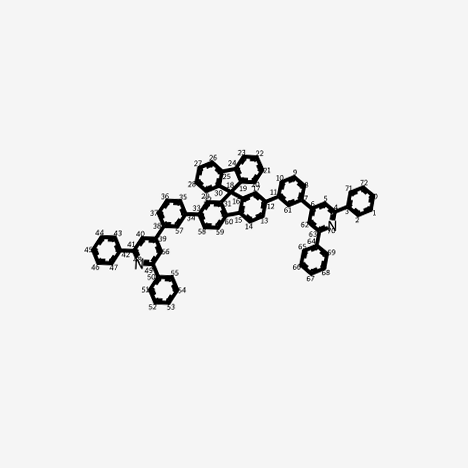 c1ccc(-c2cc(-c3cccc(-c4ccc5c(c4)C4(c6ccccc6-c6ccccc64)c4cc(-c6cccc(-c7cc(-c8ccccc8)nc(-c8ccccc8)c7)c6)ccc4-5)c3)cc(-c3ccccc3)n2)cc1